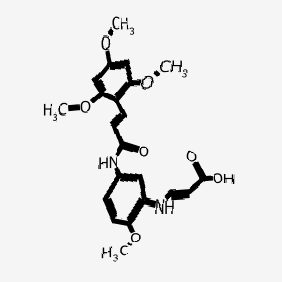 COc1cc(OC)c(C=CC(=O)Nc2ccc(OC)c(NC=CC(=O)O)c2)c(OC)c1